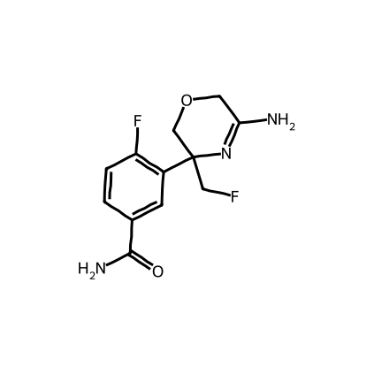 NC(=O)c1ccc(F)c(C2(CF)COCC(N)=N2)c1